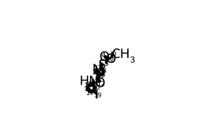 CCOC(=O)CSc1ccc(C(=O)Nc2cccc(I)c2)cn1